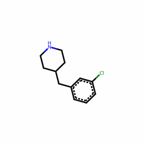 Clc1cccc(CC2CCNCC2)c1